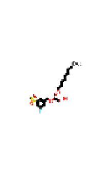 CCCCCCCCCCCCCCCCCCOC[C@H](CO)OCc1cc(F)cc(S(C)(=O)=O)c1